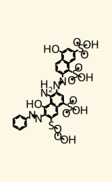 Nc1c(N=Nc2ccc3c(O)cc(S(=O)(=O)O)cc3c2S(=O)(=O)O)cc(S(=O)(=O)O)c2cc(SOOO)c(N=Nc3ccccc3)c(O)c12